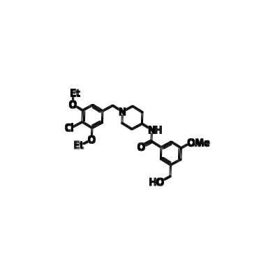 CCOc1cc(CN2CCC(NC(=O)c3cc(CO)cc(OC)c3)CC2)cc(OCC)c1Cl